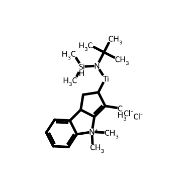 CC1=C2C(C[CH]1[Ti][N]([SiH](C)C)C(C)(C)C)c1ccccc1[N+]2(C)C.[Cl-].[Cl-]